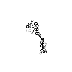 Cc1c(OCCCC2CCN(CC(=O)Nc3cccc4c(C5CCC(=O)NC5=O)nn(C)c34)C2)cccc1-c1ccc(N2CCc3cccc(C(=O)Nc4nc5ccccc5s4)c3C2)nc1C(=O)O